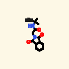 CCCCC(C)(C)NC(=O)CN1C(=O)c2ccccc2C1=O